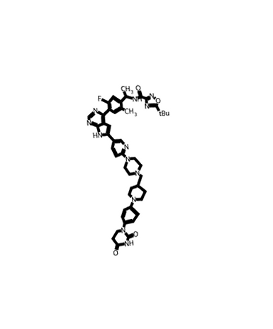 Cc1cc(-c2ncnc3[nH]c(-c4ccc(N5CCN(CC6CCN(c7ccc(N8CCC(=O)NC8=O)cc7)CC6)CC5)nc4)cc23)c(F)cc1C(C)NC(=O)c1noc(C(C)(C)C)n1